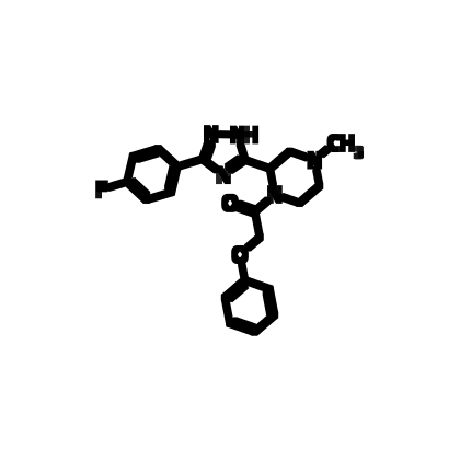 CN1CCN(C(=O)COc2ccccc2)C(c2nc(-c3ccc(F)cc3)n[nH]2)C1